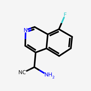 N#CC(N)c1cncc2c(F)cccc12